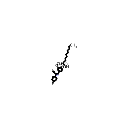 CCCCCCCCCCC(O)(O)Oc1ccc(/C=C(\C#N)c2ccc(F)cc2)cc1OC